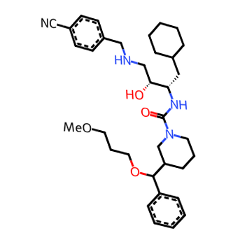 COCCCOC(c1ccccc1)C1CCCN(C(=O)N[C@@H](CC2CCCCC2)[C@H](O)CNCc2ccc(C#N)cc2)C1